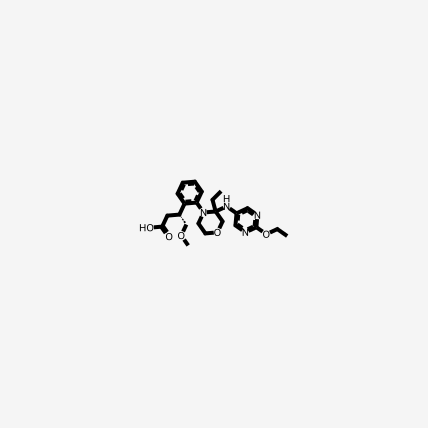 CCOc1ncc(NC2(CC)COCCN2c2ccccc2[C@H](COC)CC(=O)O)cn1